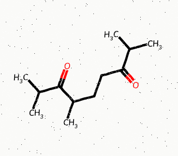 CC(C)C(=O)CCC(C)C(=O)C(C)C